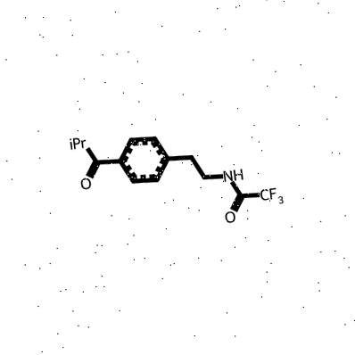 CC(C)C(=O)c1ccc(CCNC(=O)C(F)(F)F)cc1